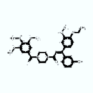 CCOc1ccc(C(=CC(=O)N2CCN(C(=O)c3cc(OC)c(OC)c(OC)c3)CC2)c2cccc(Cl)c2)cc1OC